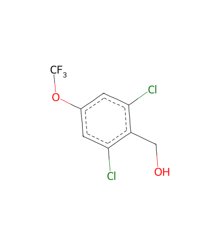 OCc1c(Cl)cc(OC(F)(F)F)cc1Cl